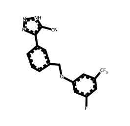 N#Cc1[nH]nnc1-c1cccc(COc2cc(F)cc(C(F)(F)F)c2)c1